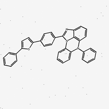 c1ccc(-c2ccc(-c3ccc(-c4nc5cccc6c5n4-c4ccccc4N6c4ccccc4)cc3)s2)cc1